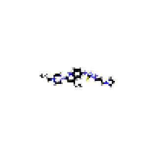 CCN1CCN(c2cc(C)c3cc(NC(=S)NCCCN4CCC4)ccc3n2)CC1